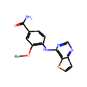 CCC(C)Oc1cc(C(N)=O)ccc1Nc1ncnc2ccsc12